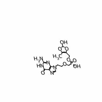 CC1=C(COP(=O)(O)COCCn2cnc3c(=O)[nH]c(N)nc32)OC(O)O1